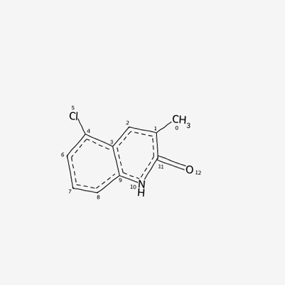 Cc1cc2c(Cl)cccc2[nH]c1=O